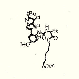 CCCCCCCCCCCCCCCCOC(=O)C(CC)NC(=O)Nc1ccc(O)cc1-c1nn2nc(C(C)(C)C)c(Cl)c2[nH]1